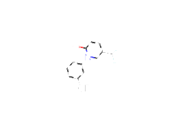 O=c1ccc(C(F)F)cn1-c1cccc(C(F)(F)F)c1